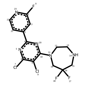 Fc1cc(-c2nc(Cl)c(Cl)c(N3CCNCC(F)(F)C3)n2)ccn1